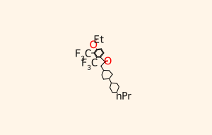 CCCC1CCC(C2CCC(CC(=O)c3ccc(OCC)c(C(F)(F)F)c3C(F)(F)F)CC2)CC1